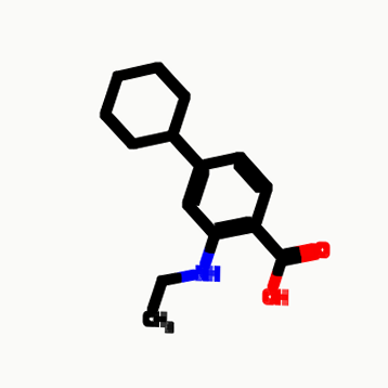 CCNc1cc(C2CCCCC2)ccc1C(=O)O